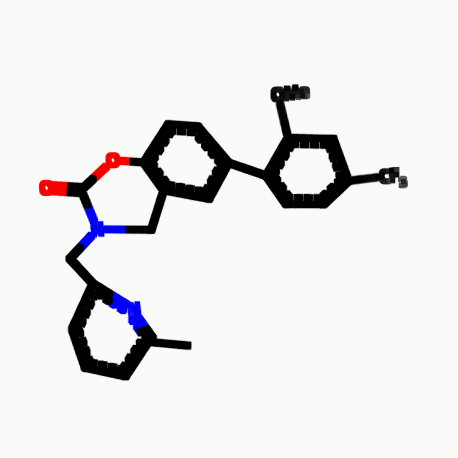 COc1cc(C(F)(F)F)ccc1-c1ccc2c(c1)CN(Cc1cccc(C)n1)C(=O)O2